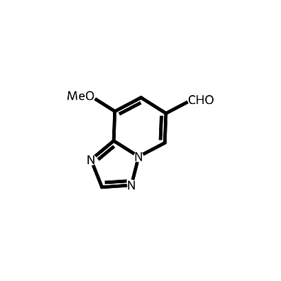 COc1cc(C=O)cn2ncnc12